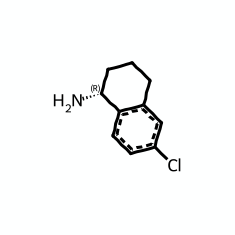 N[C@@H]1CCCc2cc(Cl)ccc21